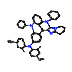 Cc1cc(C(C)(C)C)ccc1N(c1ccc2c(c1)N(c1ccccc1)c1cccc3c1B2c1nc2ccccn2c1N3c1ccccc1)c1ccc(C(C)(C)C)cc1C